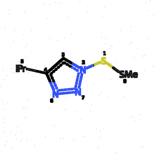 CSSn1cc(C(C)C)nn1